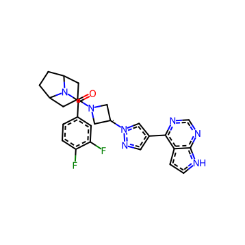 O=C(c1ccc(F)c(F)c1)N1C2CCC1CC(N1C[C](n3cc(-c4ncnc5[nH]ccc45)cn3)C1)C2